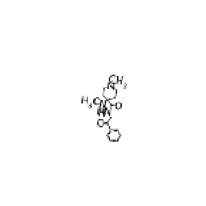 CNC1(C(=O)NCC(=O)c2ccccc2)CCN(C)CC1